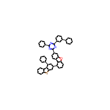 c1ccc(-c2cccc(-c3nc(-c4ccccc4)nc(-c4ccc5c(c4)oc4cccc(-c6cc(-c7ccccc7)c7c(c6)sc6ccccc67)c45)n3)c2)cc1